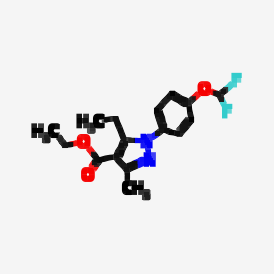 CCOC(=O)c1c(C)nn(-c2ccc(OC(F)F)cc2)c1CC